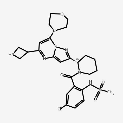 CS(=O)(=O)Nc1ccc(Cl)cc1C(=O)N1CCCC[C@H]1c1cc2nc(C3CNC3)cc(N3CCOCC3)n2n1